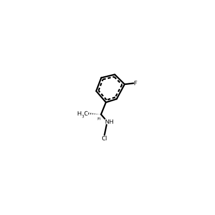 C[C@@H](NCl)c1cccc(F)c1